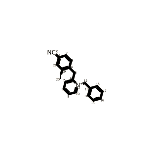 N#Cc1ccc(Cc2cccc[n+]2Cc2ccccc2)c(I)c1